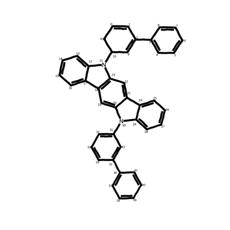 C1=CC(c2ccccc2)=CC(n2c3ccccc3c3cc4c(cc32)c2ccccc2n4-c2cccc(-c3ccccc3)c2)C1